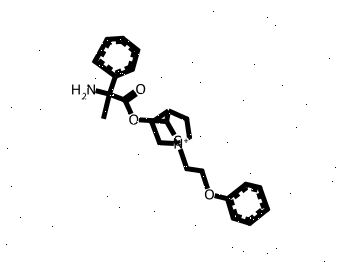 CC(N)(C(=O)OC1C[N+]2(CCOc3ccccc3)CCC1CC2)c1ccccc1